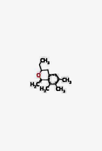 C=C1OC(CC)Cc2cc(C)c(C)c(C)c21